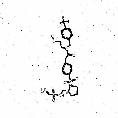 C=CS(=O)(=O)NC[C@@H]1CCCN1S(=O)(=O)c1ccc(CC(=O)N(CCOC)Cc2ccc(C(F)(F)F)cc2)cc1